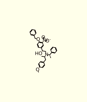 COc1ccc(CC(C)N(C[C@H](O)c2ccc(OCc3ccccc3)c([N+](=O)[O-])c2)[C@H](C)c2ccccc2)cc1